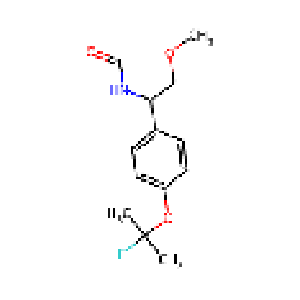 COCC(NC=O)c1ccc(OC(C)(C)F)cc1